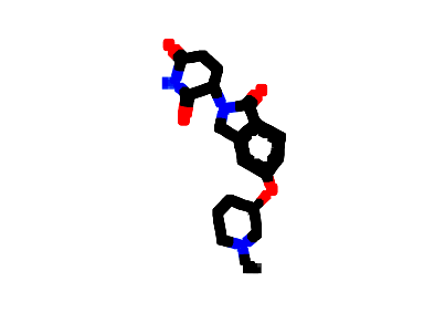 CCC(C)N1CCC[C@@H](Oc2ccc3c(c2)CN(C2CCC(=O)NC2=O)C3=O)C1